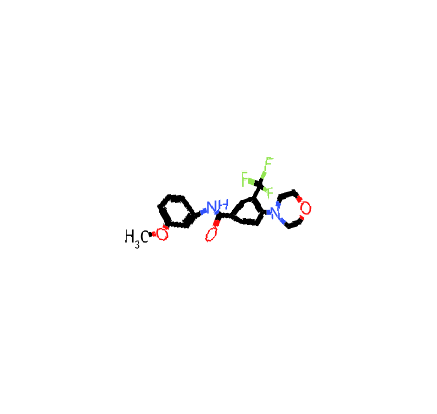 COc1cccc(NC(=O)c2ccc(N3CCOCC3)c(C(F)(F)F)c2)c1